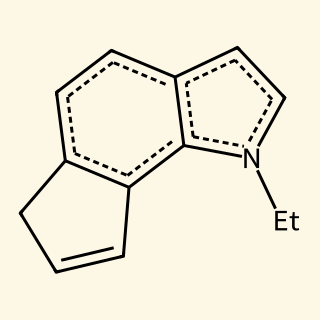 CCn1ccc2ccc3c(c21)C=CC3